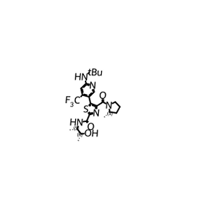 C[C@H](NC(=O)c1nc(C(=O)N2CCC[C@@H]2C)c(-c2cnc(NC(C)(C)C)cc2C(F)(F)F)s1)[C@@H](C)O